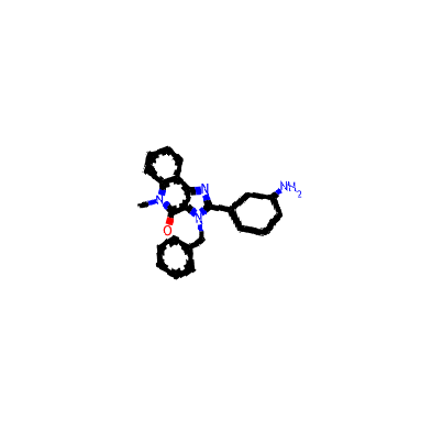 Cn1c(=O)c2c(nc(C3CCCC(N)C3)n2Cc2ccccc2)c2ccccc21